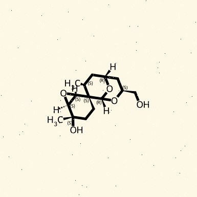 C[C@H]1C[C@@H]2C[C@@H](CO)O[C@@H](O2)[C@@]12CC[C@](C)(O)[C@H]1O[C@H]12